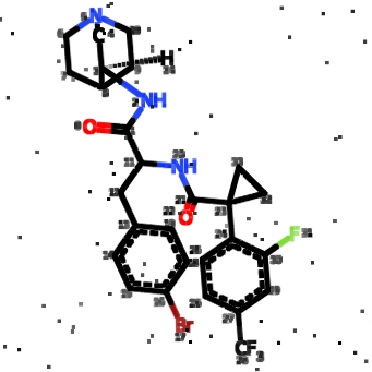 O=C(N[C@@H]1CN2CCC1CC2)C(Cc1ccc(Br)cc1)NC(=O)C1(c2ccc(C(F)(F)F)cc2F)CC1